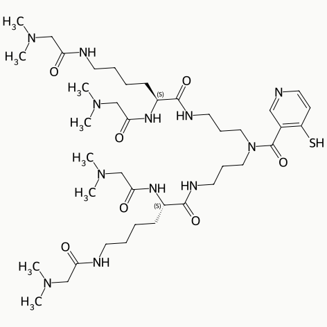 CN(C)CC(=O)NCCCC[C@H](NC(=O)CN(C)C)C(=O)NCCCN(CCCNC(=O)[C@H](CCCCNC(=O)CN(C)C)NC(=O)CN(C)C)C(=O)c1cnccc1S